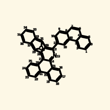 c1ccc2c(c1)ccc1ccc(-c3nc4c5ccccc5c5ccccc5c4c4c5oc(c6ccccc65)c34)cc12